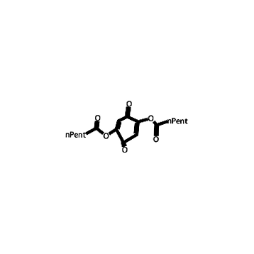 CCCCCC(=O)OC1=CC(=O)C(OC(=O)CCCCC)=CC1=O